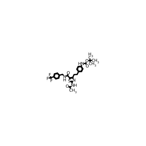 CC(=O)Nc1nc(CCc2ccc(NC(=O)OC(C)(C)C)cc2)c(C(=O)NCc2ccc(C(F)(F)F)cc2)s1